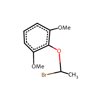 COc1cccc(OC)c1OC(C)Br